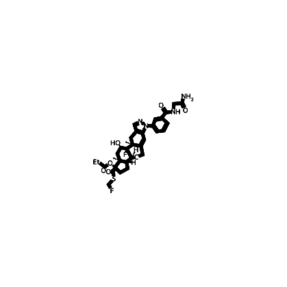 CCC(=O)O[C@]1(C(=O)SCF)CC[C@H]2[C@@H]3CCC4=Cc5c(cnn5-c5cccc(C(=O)NCC(N)=O)c5)C[C@]4(C)[C@@]3(F)[C@@H](O)C[C@@]21C